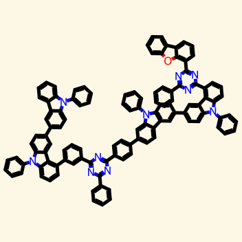 c1ccc(-c2nc(-c3ccc(-c4ccc5c6cc(-c7ccc8c(c7)c7c(-c9nc(-c%10ccccc%10)nc(-c%10cccc%11c%10oc%10ccccc%10%11)n9)cccc7n8-c7ccccc7)ccc6n(-c6ccccc6)c5c4)cc3)nc(-c3cccc(-c4cccc5c4c4cc(-c6ccc7c(c6)c6ccccc6n7-c6ccccc6)ccc4n5-c4ccccc4)c3)n2)cc1